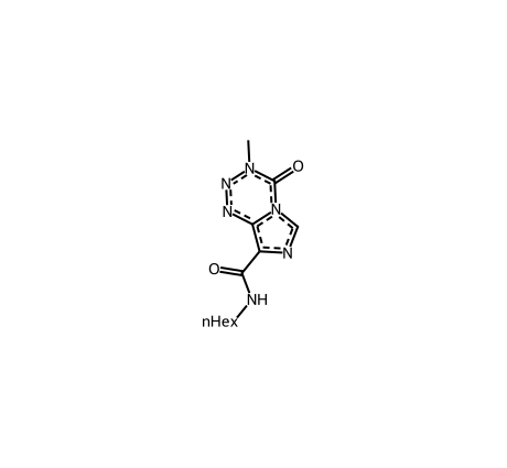 CCCCCCNC(=O)c1ncn2c(=O)n(C)nnc12